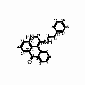 O=C1c2ccccc2C2=C(NCCc3ccccc3)CNc3cccc1c32